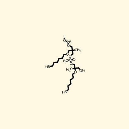 CC(COCCCCCCS)(COPOI)COP(=O)(O)OCC(C)(CO)OCCCCCCS